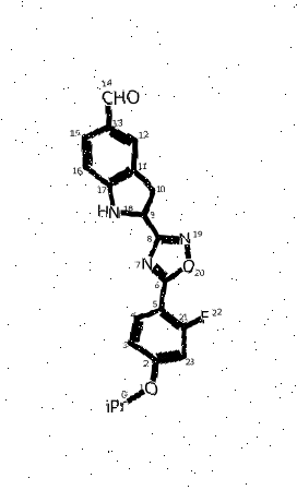 CC(C)Oc1ccc(-c2nc(C3Cc4cc(C=O)ccc4N3)no2)c(F)c1